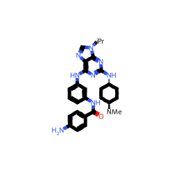 CN[C@H]1CC[C@H](Nc2nc(Nc3cccc(NC(=O)c4ccc(N)cc4)c3)c3ncn(C(C)C)c3n2)CC1